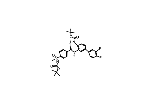 CC(C)(C)OC(=O)N=S(C)(=O)c1ccc(C(=O)Nc2cc(-c3ccc(F)c(F)c3)ccc2NC(=O)OC(C)(C)C)cc1